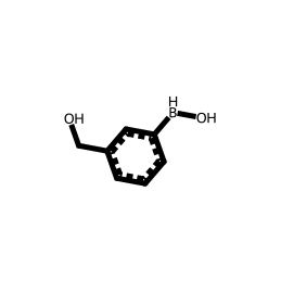 OBc1cccc(CO)c1